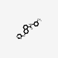 Cc1cccc(NC(=O)c2cccc3cc(Oc4ccncn4)ccc23)c1